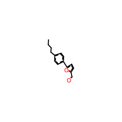 CCCCc1ccc(-c2ccc(C=O)o2)cc1